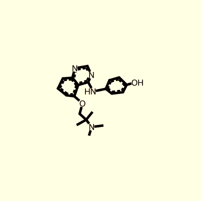 CN(C)C(C)(C)COc1cccc2ncnc(Nc3ccc(O)cc3)c12